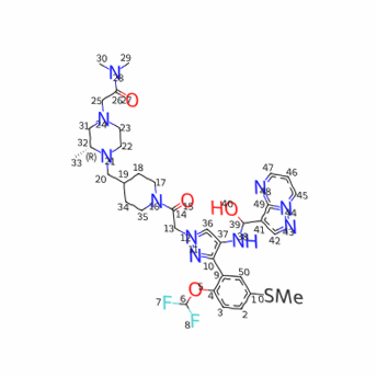 CSc1ccc(OC(F)F)c(-c2nn(CC(=O)N3CCC(CN4CCN(CC(=O)N(C)C)C[C@H]4C)CC3)cc2NC(O)c2cnn3cccnc23)c1